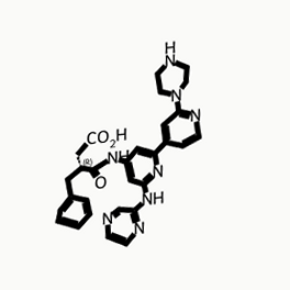 O=C(O)C[C@@H](Cc1ccccc1)C(=O)Nc1cc(Nc2cnccn2)nc(-c2ccnc(N3CCNCC3)c2)c1